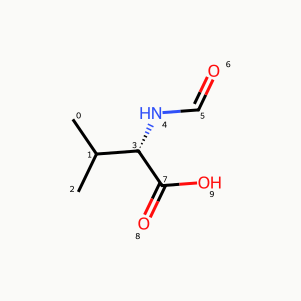 CC(C)[C@H](NC=O)C(=O)O